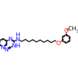 COc1cccc(OCCCCCCCCCCN/C(=N/c2cccnc2)NC#N)c1